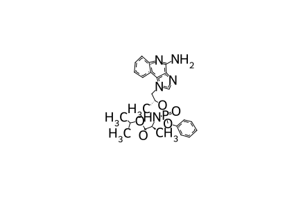 CC(C)OC(=O)[C@H](C)N[P@@](=O)(Oc1ccccc1)O[C@H](C)Cn1cnc2c(N)nc3ccccc3c21